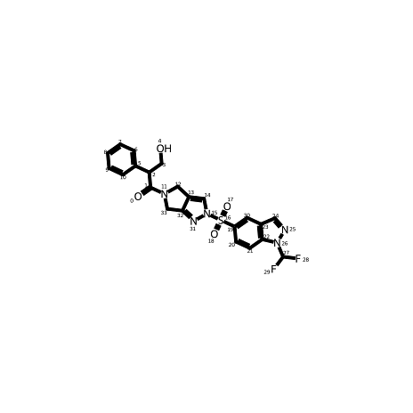 O=C(C(CO)c1ccccc1)N1Cc2cn(S(=O)(=O)c3ccc4c(cnn4C(F)F)c3)nc2C1